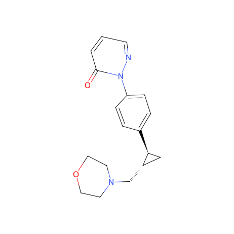 O=c1cccnn1-c1ccc([C@H]2C[C@@H]2CN2CCOCC2)cc1